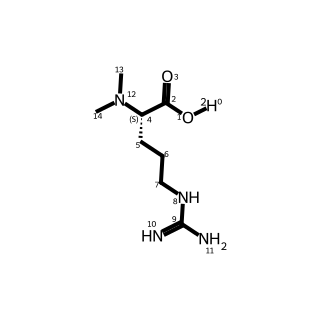 [2H]OC(=O)[C@H](CCCNC(=N)N)N(C)C